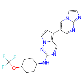 FC(F)(F)O[C@H]1CC[C@@H](Nc2ncc3c(-c4cnc5nccn5c4)ccn3n2)CC1